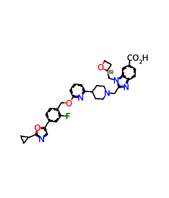 O=C(O)c1ccc2nc(CN3CCC(c4cccc(OCc5ccc(-c6cnc(C7CC7)o6)cc5F)n4)CC3)n(C[C@@H]3CCO3)c2c1